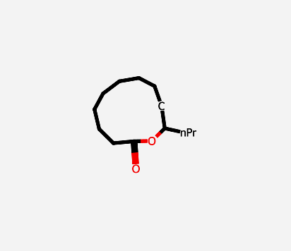 CCCC1CCCCCCCCC(=O)O1